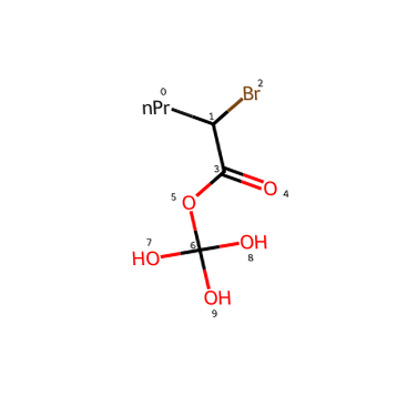 CCCC(Br)C(=O)OC(O)(O)O